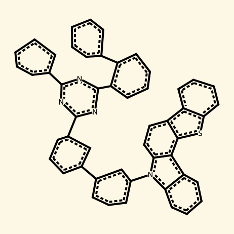 c1ccc(-c2nc(-c3cccc(-c4cccc(-n5c6ccccc6c6c7sc8ccccc8c7ccc65)c4)c3)nc(-c3ccccc3-c3ccccc3)n2)cc1